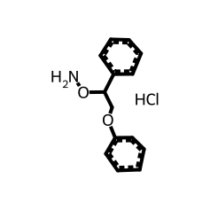 Cl.NOC(COc1ccccc1)c1ccccc1